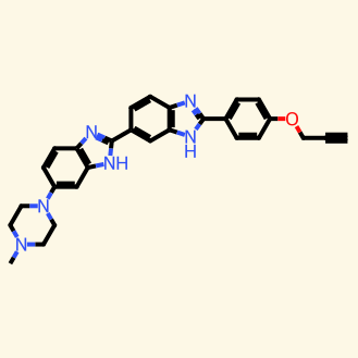 C#CCOc1ccc(-c2nc3ccc(-c4nc5ccc(N6CCN(C)CC6)cc5[nH]4)cc3[nH]2)cc1